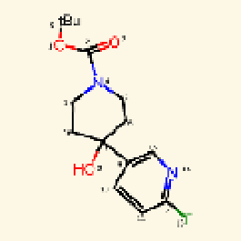 CC(C)(C)OC(=O)N1CCC(O)(c2ccc(F)nc2)CC1